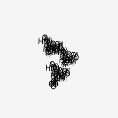 CC(=O)OC[C@H]1O[C@@H](n2ccc(=O)[nH]c2=O)[C@H](OC2CCCCO2)[C@@]1(O)[n+]1ccccc1.CC(=O)OC[C@H]1O[C@@H](n2ccc(=O)[nH]c2=O)[C@H](OC2CCCCO2)[C@@]1(O)[n+]1ccccc1.CC(=O)OC[C@H]1O[C@@H](n2ccc(=O)[nH]c2=O)[C@H](OC2CCCCO2)[C@@]1(O)[n+]1ccccc1.O=P([O-])([O-])[O-]